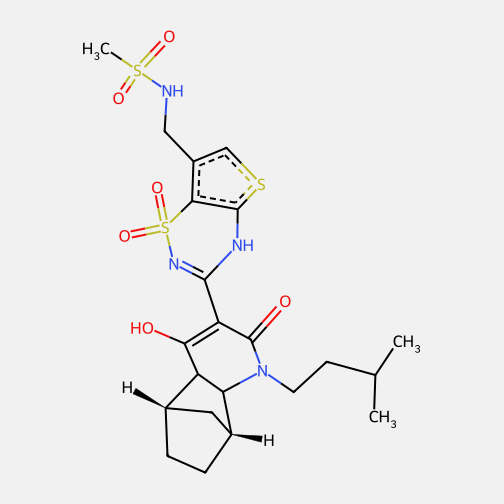 CC(C)CCN1C(=O)C(C2=NS(=O)(=O)c3c(CNS(C)(=O)=O)csc3N2)=C(O)C2C1[C@@H]1CC[C@H]2C1